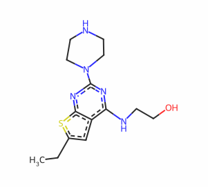 CCc1cc2c(NCCO)nc(N3CCNCC3)nc2s1